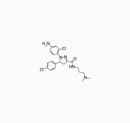 CN(C)CCCNC(=O)C1=NN(c2ccc(N)cc2Cl)C(c2ccc(Cl)cc2)C1